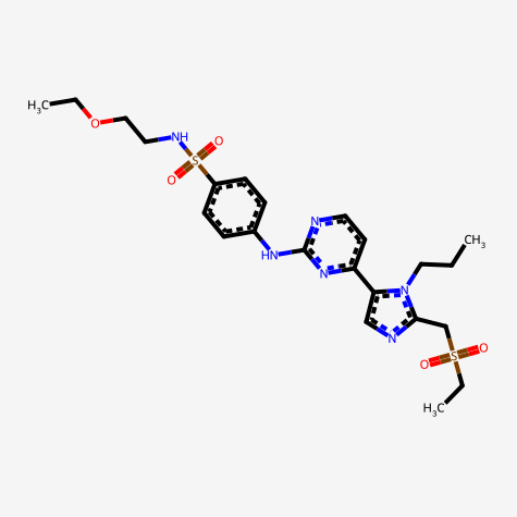 CCCn1c(-c2ccnc(Nc3ccc(S(=O)(=O)NCCOCC)cc3)n2)cnc1CS(=O)(=O)CC